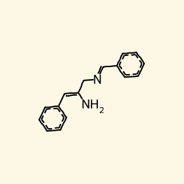 NC(=Cc1ccccc1)CN=Cc1ccccc1